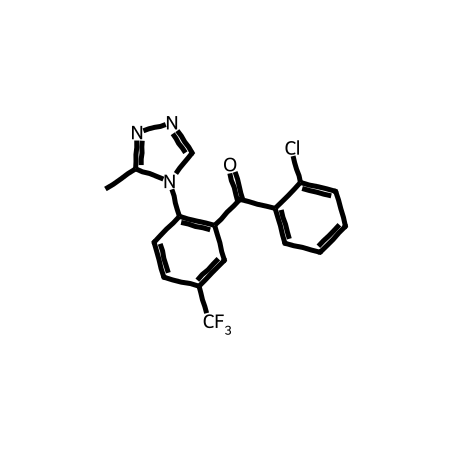 Cc1nncn1-c1ccc(C(F)(F)F)cc1C(=O)c1ccccc1Cl